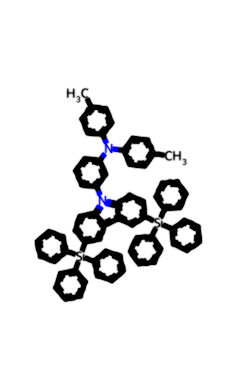 Cc1ccc(N(c2ccc(C)cc2)c2cccc(-n3c4ccc([Si](c5ccccc5)(c5ccccc5)c5ccccc5)cc4c4cc([Si](c5ccccc5)(c5ccccc5)c5ccccc5)ccc43)c2)cc1